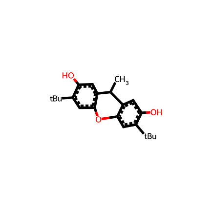 CC1c2cc(O)c(C(C)(C)C)cc2Oc2cc(C(C)(C)C)c(O)cc21